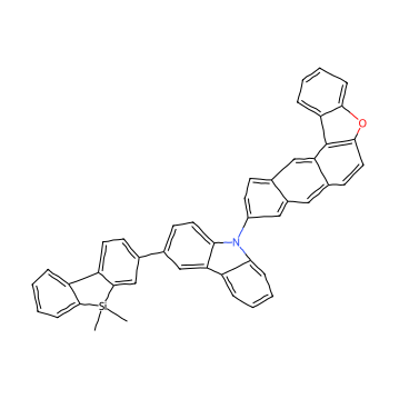 C[Si]1(C)c2ccccc2-c2ccc(-c3ccc4c(c3)c3ccccc3n4-c3ccc4cc5c(ccc6oc7ccccc7c65)cc4c3)cc21